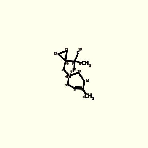 CC1=CCN(CC2(C(C)(F)F)CC2)CC1